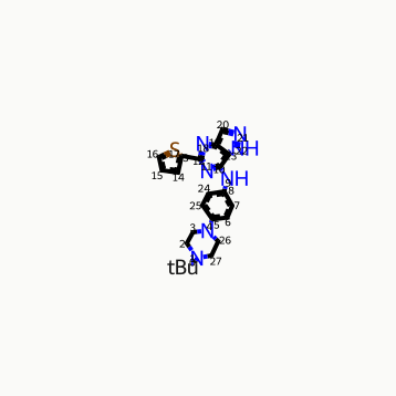 CC(C)(C)N1CCN(c2ccc(Nc3nc(-c4cccs4)nc4cn[nH]c34)cc2)CC1